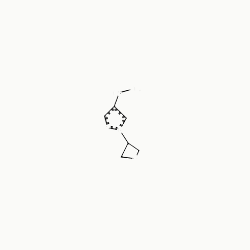 CNc1cnn(C2COC2)c1